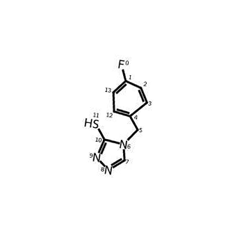 Fc1ccc(Cn2cnnc2S)cc1